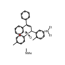 CCNCC.CNC.Cc1ccc(S(=O)(=O)C(C=C(c2ccccc2)c2ccccc2)c2ccccc2C)cc1